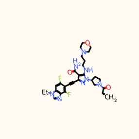 C=CC(=O)N1CC[C@H](n2nc(C#Cc3c(F)cc4c(ncn4CC)c3F)c(C(N)=O)c2NCCCN2CCOCC2)C1